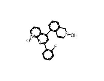 [O-][n+]1cccc2c(-c3cccc4c3C=CN(O)C4)cc(-c3ccccc3F)nc21